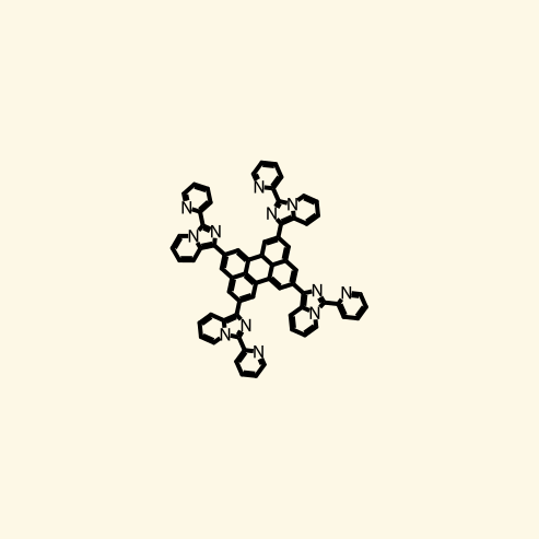 C1=C(c2nc(-c3ccccn3)n3ccccc23)C=C2c3cc(-c4nc(-c5ccccn5)n5ccccc45)cc4cc(-c5nc(-c6ccccn6)n6ccccc56)cc(c34)C3C=C(c4nc(-c5ccccn5)n5ccccc45)C=C1C23